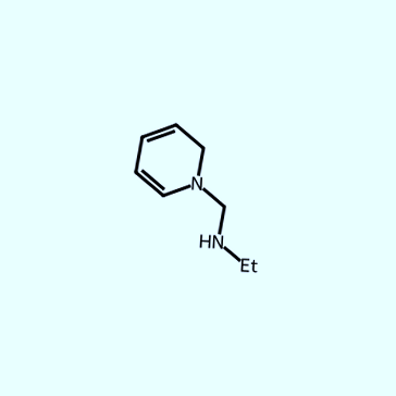 CCNCN1C=CC=CC1